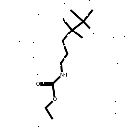 CCOC(=O)NCCCC(C)(C)C(C)(C)C